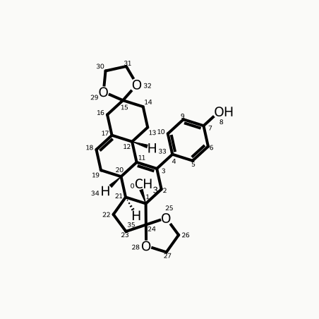 C[C@]12CC(c3ccc(O)cc3)=C3[C@H]4CCC5(CC4=CC[C@H]3[C@@H]1CCC21OCCO1)OCCO5